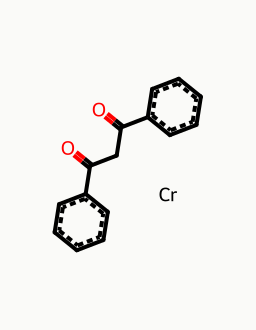 O=C(CC(=O)c1ccccc1)c1ccccc1.[Cr]